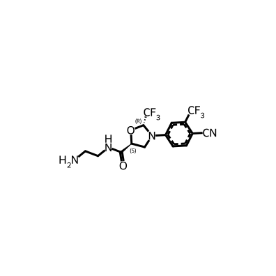 N#Cc1ccc(N2C[C@@H](C(=O)NCCN)O[C@@H]2C(F)(F)F)cc1C(F)(F)F